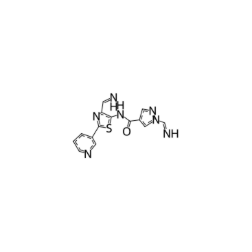 N=Cc1nc(-c2cccnc2)sc1NC(=O)c1cnn(C=N)c1